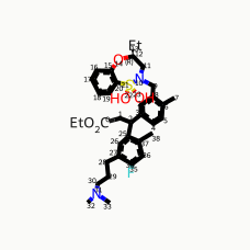 CCOC(=O)CC(c1ccc(C)c(CN2C[C@@H](CC)Oc3ccccc3S2(O)O)c1)c1cc(CCCN(C)C)c(F)cc1C